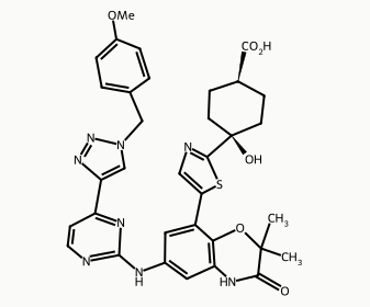 COc1ccc(Cn2cc(-c3ccnc(Nc4cc5c(c(-c6cnc([C@]7(O)CC[C@@H](C(=O)O)CC7)s6)c4)OC(C)(C)C(=O)N5)n3)nn2)cc1